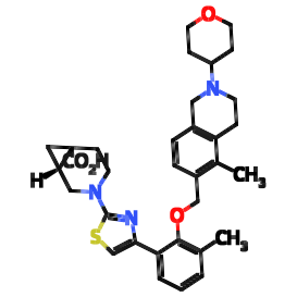 Cc1cccc(-c2csc(N3CC[C@@]4(C(=O)O)C[C@H]4C3)n2)c1OCc1ccc2c(c1C)CCN(C1CCOCC1)C2